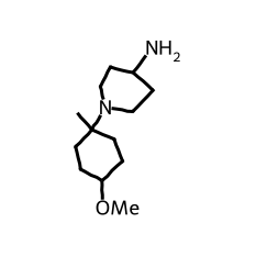 COC1CCC(C)(N2CCC(N)CC2)CC1